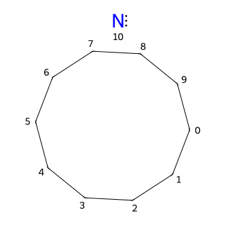 C1CCCCCCCCC1.[N]